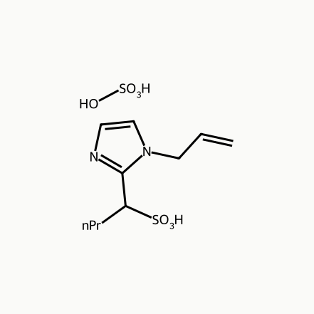 C=CCn1ccnc1C(CCC)S(=O)(=O)O.O=S(=O)(O)O